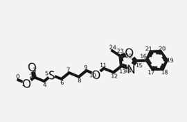 COC(=O)CSCCCCOCCc1nc(-c2ccccc2)oc1C